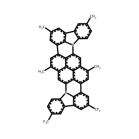 Cc1ccc2c(c1)-c1cc(C)cc3c1B2c1cc2c(C)cc4c5c(cc6c(C)cc-3c1c6c25)B1c2ccc(C(F)(F)F)cc2-c2cc(C(F)(F)F)cc-4c21